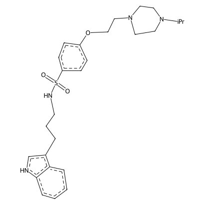 CC(C)N1CCN(CCOc2ccc(S(=O)(=O)NCCCc3c[nH]c4ccccc34)cc2)CC1